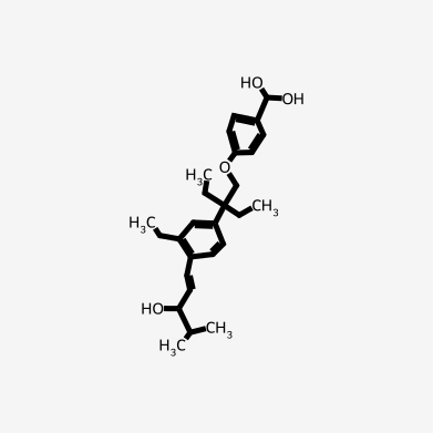 CCc1cc(C(CC)(CC)COc2ccc(C(O)O)cc2)ccc1C=CC(O)C(C)C